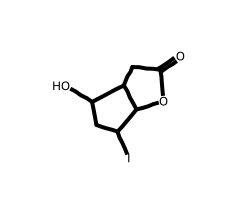 O=C1CC2C(O)CC(I)C2O1